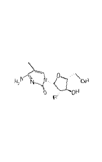 Cc1cn([C@@H]2O[C@H](CO)[C@@H](O)[C@@H]2F)c(=O)nc1N